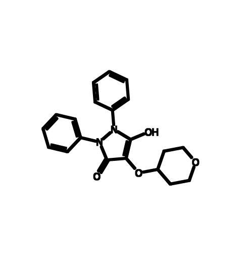 O=c1c(OC2CCOCC2)c(O)n(-c2ccccc2)n1-c1ccccc1